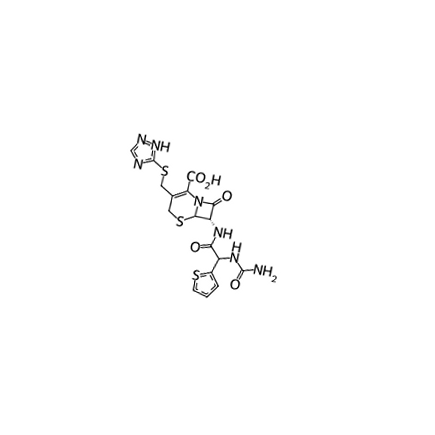 NC(=O)NC(C(=O)N[C@H]1C(=O)N2C(C(=O)O)=C(CSc3ncn[nH]3)CSC12)c1cccs1